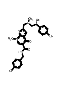 CN(Cc1cc2c(=O)c(C(=O)NCc3ccc(Cl)cc3)cn(C)c2s1)C[C@H](O)c1ccc(C#N)cc1